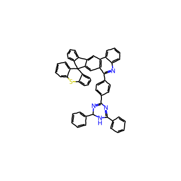 c1ccc(C2=NC(c3ccc(-c4nc5ccccc5c5cc6c(cc45)C4(c5ccccc5Sc5ccccc54)c4ccccc4-6)cc3)=NC(c3ccccc3)N2)cc1